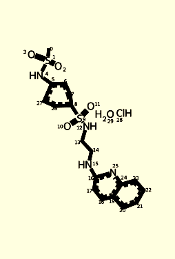 CS(=O)(=O)Nc1ccc(S(=O)(=O)NCCNc2ccc3ccccc3n2)cc1.Cl.O